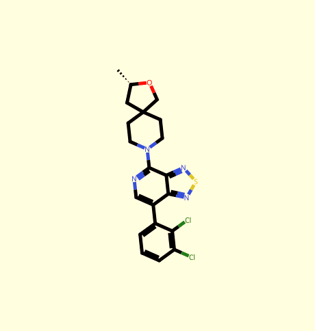 C[C@H]1CC2(CCN(c3ncc(-c4cccc(Cl)c4Cl)c4nsnc34)CC2)CO1